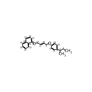 CCC(C)c1ccc(OC/C=C/COc2cccc3ccccc23)cc1